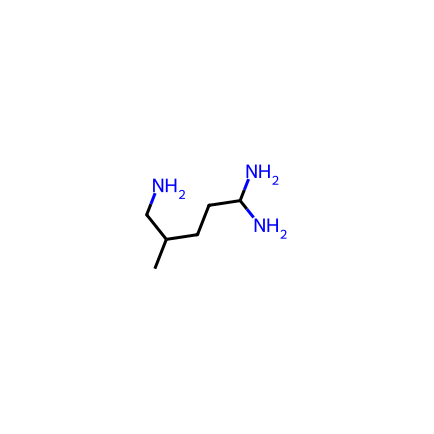 CC(CN)CCC(N)N